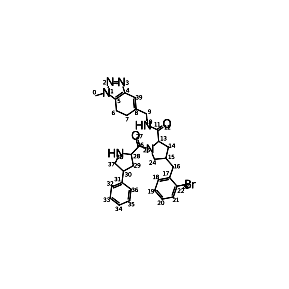 Cn1nnc2c1CCC(CNC(=O)C1CC(Cc3ccccc3Br)CN1C(=O)C1CC(c3ccccc3)CN1)=C2